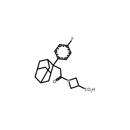 O=C(O)C1CN(C(=O)CC2(c3ccc(F)cc3)C3CC4CC(C3)CC2C4)C1